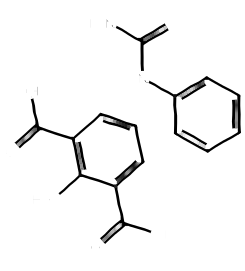 Cc1c(C(=O)O)cccc1C(=O)O.NC(=O)Nc1ccccc1